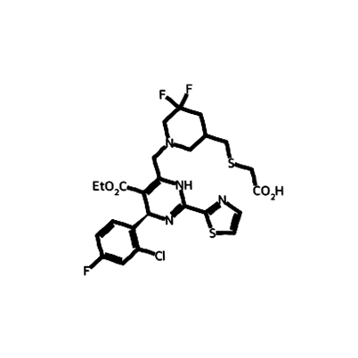 CCOC(=O)C1=C(CN2CC(CSCC(=O)O)CC(F)(F)C2)NC(c2nccs2)=N[C@H]1c1ccc(F)cc1Cl